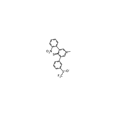 Cn1cc(-c2cccc([S+]([O-])C(F)(F)F)c2)c(=S)c(-c2ccccc2[N+](=O)[O-])c1